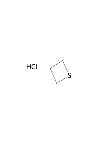 C1CSC1.Cl